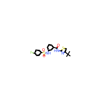 CC(C)(C)c1csc(NC(=O)c2cccc(NS(=O)(=O)c3ccc(F)cc3)c2)n1